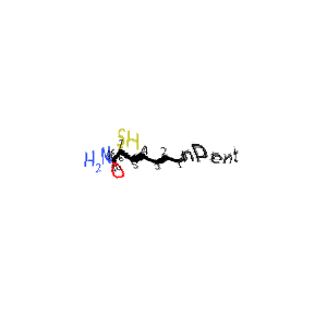 CCCCCCC=CC=CC(S)C(N)=O